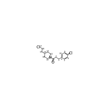 O=C(CCc1ccc(Cl)cc1)N1CCC(CCCl)CC1